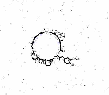 CO[C@@H]1C(=O)[C@H](C)C[C@H](C)/C=C/C=C/C=C(\C)CC[C@@H]2CC[C@@H](C)[C@@](O)(O2)C(=O)C(=O)N2CCCC[C@H]2C(=O)O[C@@H]([C@H](C)C[C@@H]2CC[C@H](O)[C@H](OC)C2)CC(=O)[C@H](C)/C=C(\C)[C@H]1O